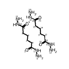 NNC(=O)CCCCC(=O)NN.NNC(=O)CCCCC(=O)NN